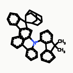 CC1(C)c2ccccc2-c2c(N(c3ccc4c(c3)C3(c5ccccc5-4)C4CC5CC(C4)CC3C5)c3ccccc3-c3ccccc3)cccc21